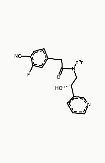 CCCN(C[C@@H](O)c1cccnc1)C(=O)Cc1ccc(C#N)c(F)c1